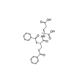 O=C(O)CC[C@H](NC(=O)C(CSC(=O)c1ccccc1)SC(=O)c1ccccc1)C(=O)O